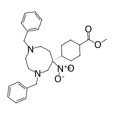 COC(=O)C1CCC([C@@]2([N+](=O)[O-])CCN(Cc3ccccc3)CCN(Cc3ccccc3)C2)CC1